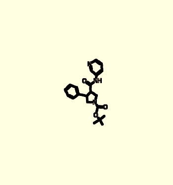 CC(C)(C)OC(=O)N1CC(C(=O)Nc2cccnc2)C(c2ccccc2)C1